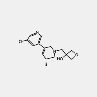 C[C@H]1C=C(c2cncc(Cl)c2)CN(CC2(O)COC2)C1